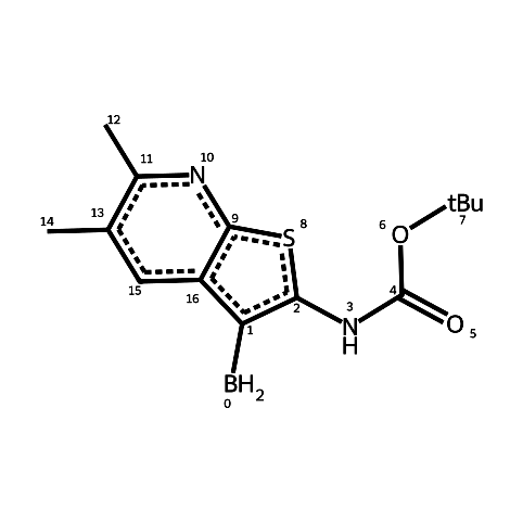 Bc1c(NC(=O)OC(C)(C)C)sc2nc(C)c(C)cc12